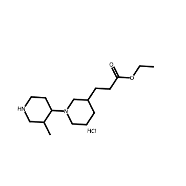 CCOC(=O)CCC1CCCN(C2CCNCC2C)C1.Cl